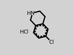 Cl.Clc1ccc2c(c1)CCNC2